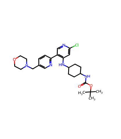 CC(C)(C)OC(=O)NC1CCC(Nc2cc(Cl)ncc2-c2ccc(CN3CCOCC3)cn2)CC1